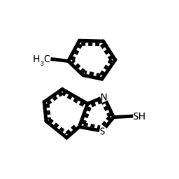 Cc1ccccc1.Sc1nc2ccccc2s1